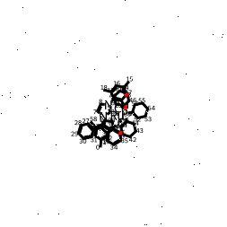 Cc1cc(C)c(-n2ccn(-c3c(C)cc(C)cc3C)[c]2=[Ru]([Cl])([Cl])(=[C]2C=C(c3ccccc3)c3ccccc32)[PH](C2CCCCC2)(C2CCCCC2)C2CCCCC2)c(C)c1